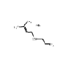 Br.CCCNCC=C(C)C